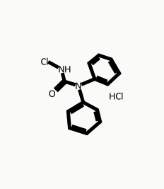 Cl.O=C(NCl)N(c1ccccc1)c1ccccc1